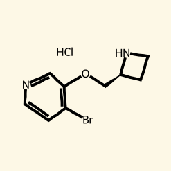 Brc1ccncc1OC[C@@H]1CCN1.Cl